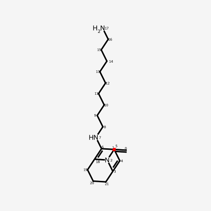 C=CN1C2=CCC(NCCCCCCCCCN)=C1CCC2